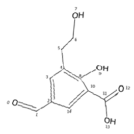 O=Cc1cc(CCO)c(O)c(C(=O)O)c1